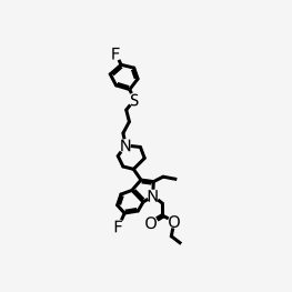 CCOC(=O)Cn1c(CC)c(C2CCN(CCCSc3ccc(F)cc3)CC2)c2ccc(F)cc21